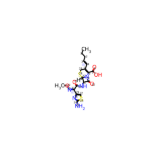 CCC/C=C/C1=C(C(=O)O)N2C(=O)C(NC(=O)/C(=N\OC)c3csc(N)n3)[C@H]2SC1